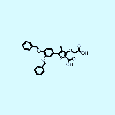 Cc1c(-c2ccc(OCc3ccccc3)c(OCc3ccccc3)c2)sc(C(=O)O)c1OCC(=O)O